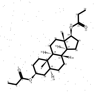 CCC(=O)O[C@H]1CC[C@@]2(C)[C@@H](CC[C@@H]3[C@@H]2CC[C@]2(C)[C@@H](OC(=O)CC)CC[C@@H]32)C1